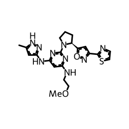 COCCNc1cc(Nc2cc(C)[nH]n2)nc(N2CCC[C@H]2c2cc(-c3nccs3)no2)n1